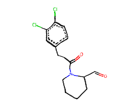 O=CC1CCCCN1C(=O)Cc1ccc(Cl)c(Cl)c1